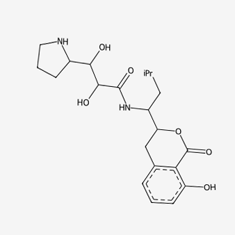 CC(C)CC(NC(=O)C(O)C(O)C1CCCN1)C1Cc2cccc(O)c2C(=O)O1